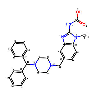 Cn1c(NC(=O)O)nc2cc(CN3CCN(C(c4ccccc4)c4ccccc4)CC3)ccc21